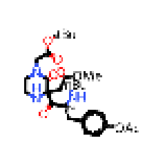 CCCCN[C@@H](Cc1ccc(OC(C)=O)cc1)C(=O)C1(CC(=O)OC)NCCN(CC(=O)OC(C)(C)C)C1=O